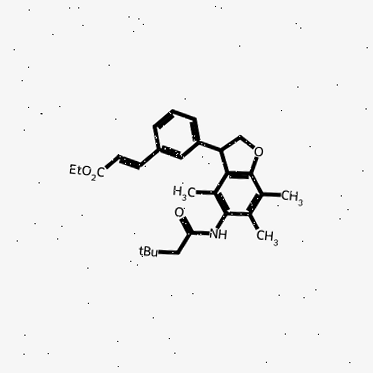 CCOC(=O)/C=C/c1cccc(C2COc3c(C)c(C)c(NC(=O)CC(C)(C)C)c(C)c32)c1